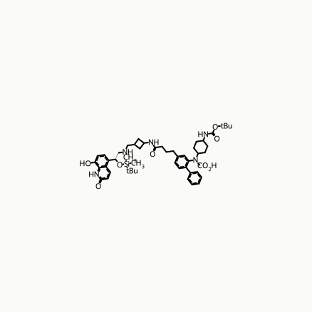 CC(C)(C)OC(=O)NC1CCC(N(C(=O)O)c2cc(CCCC(=O)NC3CC(CNC[C@H](O[Si](C)(C)C(C)(C)C)c4ccc(O)c5[nH]c(=O)ccc45)C3)ccc2-c2ccccc2)CC1